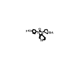 O=c1n(-c2ccc(O)cc2)c2cnccc2n1C1CCNC1